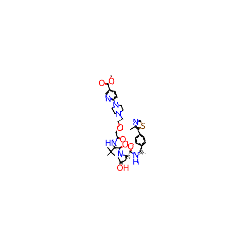 COC(=O)c1ccc(N2CCN(CCOCC(=O)N[C@H](C(=O)N3C[C@H](O)C[C@H]3C(=O)N[C@@H](C)c3ccc(-c4scnc4C)cc3)C(C)(C)C)CC2)nc1